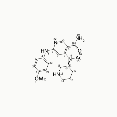 COc1ccc(Nc2cc(N(C(C)=O)[C@H]3CCCNC3)c(C(N)=O)cn2)cc1